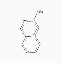 CC(C)(C)c1[c]cc2ccccc2c1